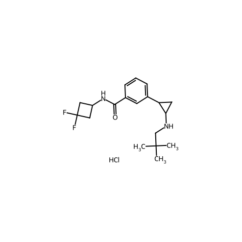 CC(C)(C)CNC1CC1c1cccc(C(=O)NC2CC(F)(F)C2)c1.Cl